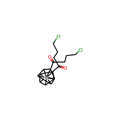 O=C(CCCCl)[C]12[CH]3[CH]4[CH]5[CH]1[Fe]45321678[CH]2[CH]1[CH]6[C]7(C(=O)CCCCl)[CH]28